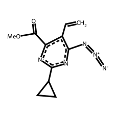 C=Cc1c(N=[N+]=[N-])nc(C2CC2)nc1C(=O)OC